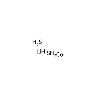 S.S.[Co].[LiH]